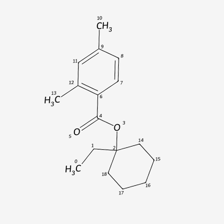 CCC1(OC(=O)c2ccc(C)cc2C)CCCCC1